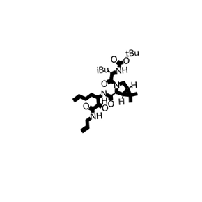 C=CCCC(NC(=O)[C@@H]1[C@H]2[C@@H](CN1C(=O)[C@@H](NC(=O)OC(C)(C)C)C(C)CC)C2(C)C)C(=O)C(=O)NCC=C